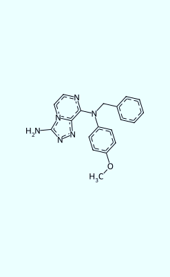 COc1ccc(N(Cc2ccccc2)c2nccn3c(N)nnc23)cc1